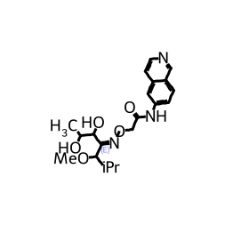 COC(/C(=N/OCC(=O)Nc1ccc2cnccc2c1)C(O)C(C)O)C(C)C